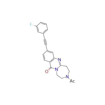 CC(=O)N1CCc2nc3cc(C#Cc4cccc(F)c4)ccc3c(=O)n2CC1